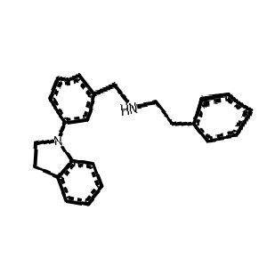 c1ccc(CCNCc2cccc(N3CCc4ccccc43)c2)cc1